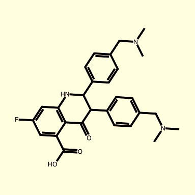 CN(C)Cc1ccc(C2Nc3cc(F)cc(C(=O)O)c3C(=O)C2c2ccc(CN(C)C)cc2)cc1